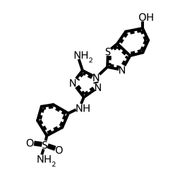 Nc1nc(Nc2cccc(S(N)(=O)=O)c2)nn1-c1nc2ccc(O)cc2s1